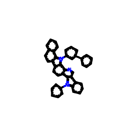 c1ccc(-c2cccc(-n3c4c5ccccc5ccc4c4ccc5c(ncc6c7ccccc7n(-c7ccccc7)c65)c43)c2)cc1